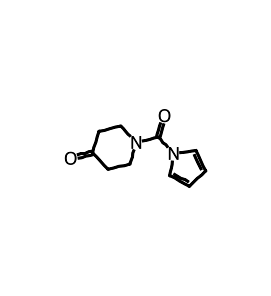 O=C1CCN(C(=O)n2cccc2)CC1